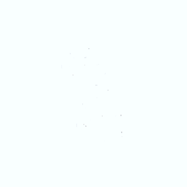 C=CC(C(O)O)C(/C=C/OC1C=C(CO)C(C(O)O)=CC1)C(N)O